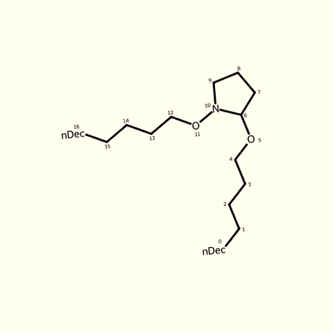 CCCCCCCCCCCCCCOC1CCCN1OCCCCCCCCCCCCCC